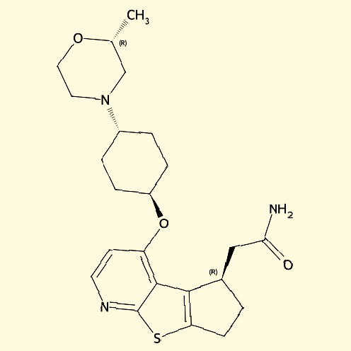 C[C@@H]1CN([C@H]2CC[C@H](Oc3ccnc4sc5c(c34)[C@@H](CC(N)=O)CC5)CC2)CCO1